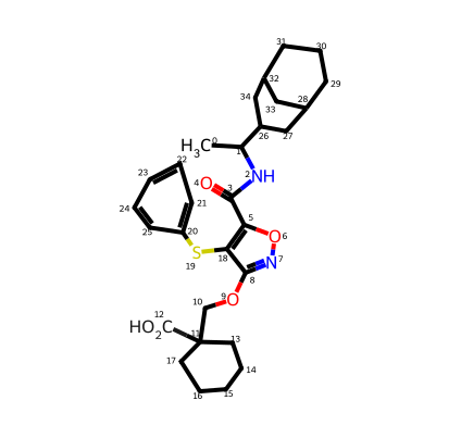 CC(NC(=O)c1onc(OCC2(C(=O)O)CCCCC2)c1Sc1ccccc1)C1CC2CCCC(C2)C1